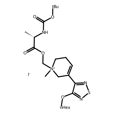 CCCCCCOc1nsnc1C1=CCC[N+](C)(COC(=O)[C@H](C)NC(=O)OC(C)(C)C)C1.[I-]